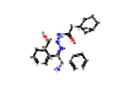 NC(c1ccccc1)c1nn(NC(=O)CC2CC3CCC2C3)c(=O)c2ccccc12